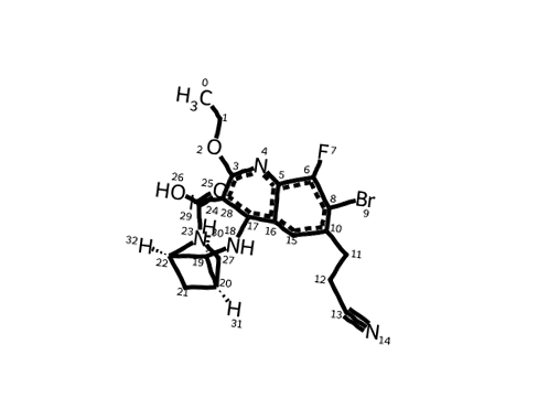 CCOc1nc2c(F)c(Br)c(CCC#N)cc2c(N[C@H]2[C@@H]3C[C@H]2N(C(=O)O)C3)c1I